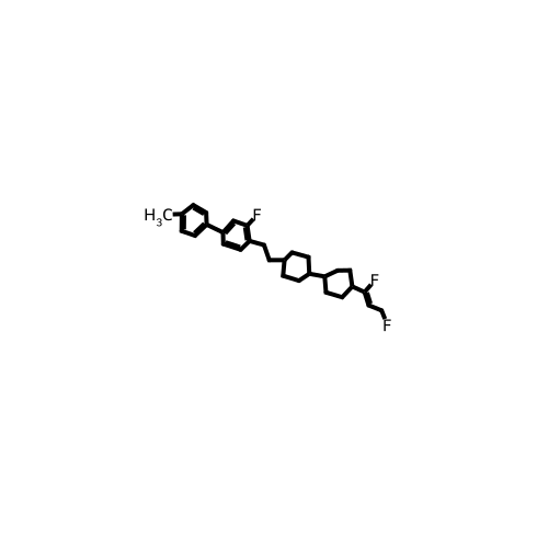 Cc1ccc(-c2ccc(CCC3CCC(C4CCC(/C(F)=C/CF)CC4)CC3)c(F)c2)cc1